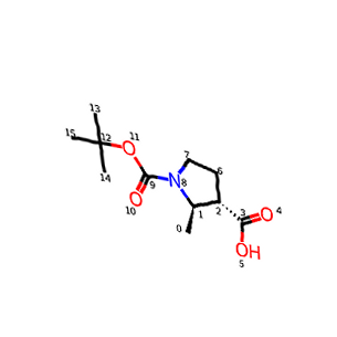 C[C@@H]1[C@@H](C(=O)O)CCN1C(=O)OC(C)(C)C